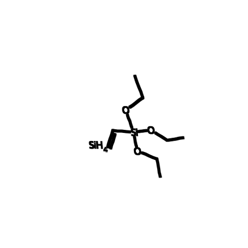 C=C[Si](OCC)(OCC)OCC.[SiH4]